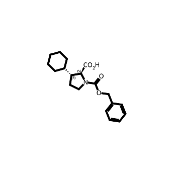 O=C(O)[C@@H]1[C@@H](C2CCCCC2)CCN1C(=O)OCc1ccccc1